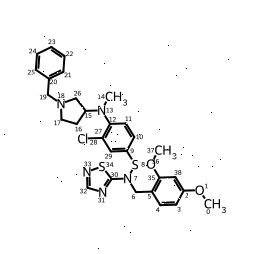 COc1ccc(CN(Sc2ccc(N(C)C3CCN(Cc4ccccc4)C3)c(Cl)c2)c2ncns2)c(OC)c1